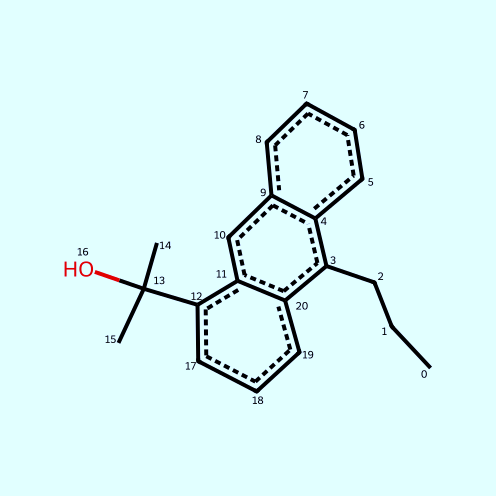 CCCc1c2ccccc2cc2c(C(C)(C)O)cccc12